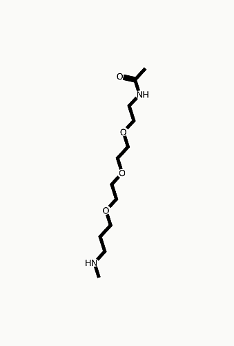 CNCCCOCCOCCOCCNC(C)=O